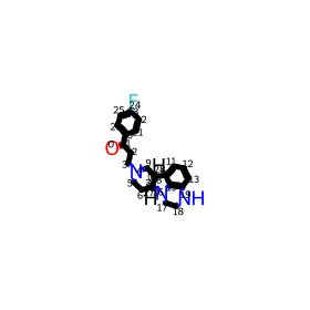 O=C(CCN1CC[C@H]2[C@@H](C1)c1cccc3c1N2CCN3)c1ccc(F)cc1